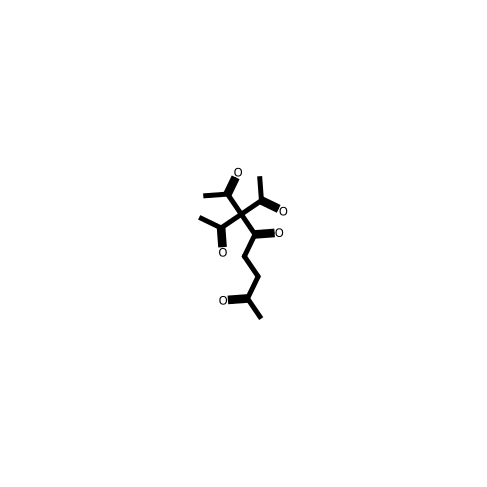 CC(=O)CCC(=O)C(C(C)=O)(C(C)=O)C(C)=O